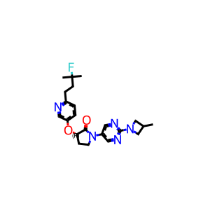 CC1CN(c2ncc(N3CC[C@@H](Oc4ccc(CCC(C)(C)F)nc4)C3=O)cn2)C1